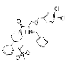 CN(c1ccccc1C1CCN(C(=O)C(COCc2ccc(Cl)c(Cl)c2)NCc2ccccc2)CC1)S(C)(=O)=O